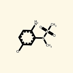 CN(c1cc(Cl)ccc1N)S(C)(=O)=O